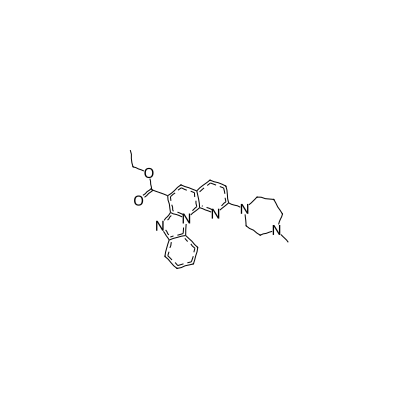 CCOC(=O)c1cc2ccc(N3CCCN(C)CC3)nc2n2c1nc1ccccc12